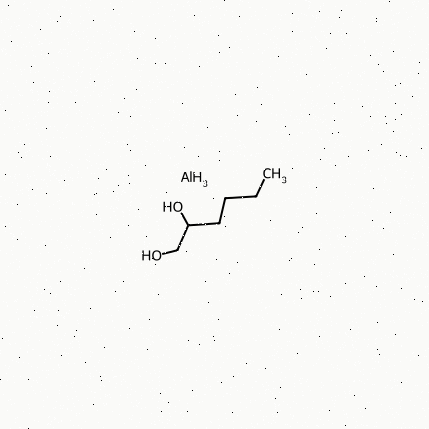 CCCCC(O)CO.[AlH3]